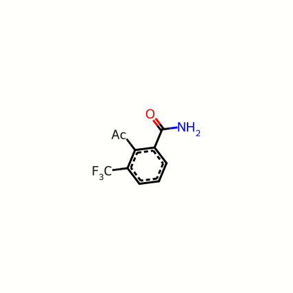 CC(=O)c1c(C(N)=O)cccc1C(F)(F)F